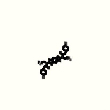 O=C(CN1CCNCC1)N(CC(F)(F)F)c1nc2cc3nc(N(CC(F)(F)F)C(=O)CN4CCNCC4)sc3cc2s1